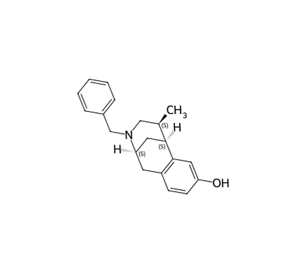 C[C@@H]1CN(Cc2ccccc2)[C@@H]2Cc3ccc(O)cc3[C@H]1C2